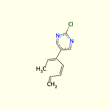 C=C/C=C\C(=C/C)c1cnc(Cl)nc1